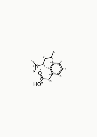 CCCCN(C)C.O=C(O)Cc1ccccc1